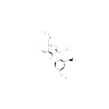 CCc1nn(CCO)c(CC)c1Oc1cc(C)cc(C#N)c1